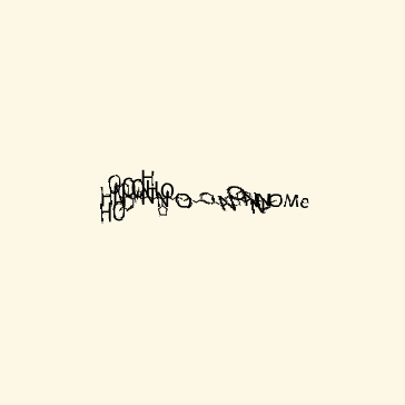 COc1ccnc(N2CCOC3(CCN(Cc4cccc(CCOCCC(=O)N(CCNC[C@H](O)c5ccc(O)c6c5OCC(=O)N6)C5CCCC5)c4)CC3)C2)n1